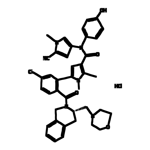 Cc1c(C(=O)N(c2ccc(O)cc2)c2cc(C#N)n(C)c2)cc(-c2cc(Cl)ccc2C(=O)N2Cc3ccccc3C[C@H]2CN2CCOCC2)n1C.Cl